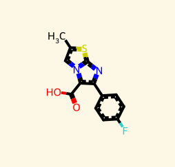 Cc1cn2c(C(=O)O)c(-c3ccc(F)cc3)nc2s1